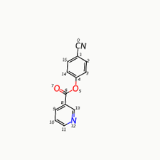 N#Cc1ccc(OC(=O)c2cccnc2)cc1